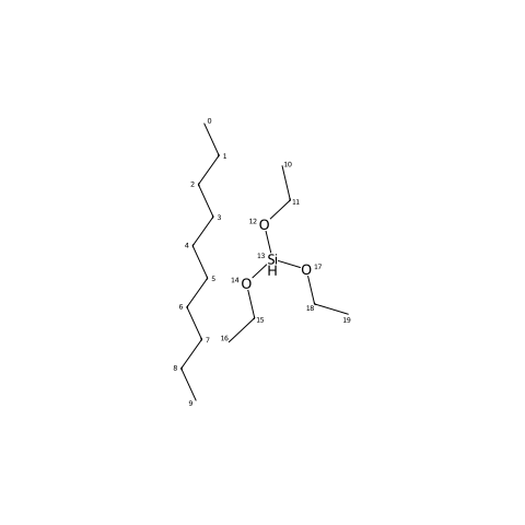 CCCCCCCCCC.CCO[SiH](OCC)OCC